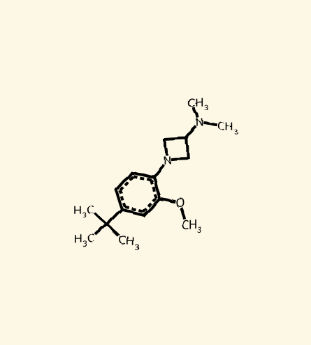 COc1cc(C(C)(C)C)ccc1N1CC(N(C)C)C1